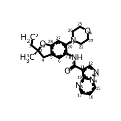 [CH2]C[C@@]1(C)Cc2cc(NC(=O)c3cnn4cccnc34)c(N3CCOCC3)cc2O1